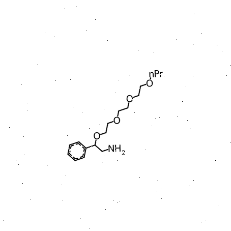 CCCOCCOCCOCCOC(CN)c1ccccc1